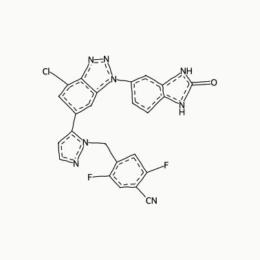 N#Cc1cc(F)c(Cn2nccc2-c2cc(Cl)c3nnn(-c4ccc5[nH]c(=O)[nH]c5c4)c3c2)cc1F